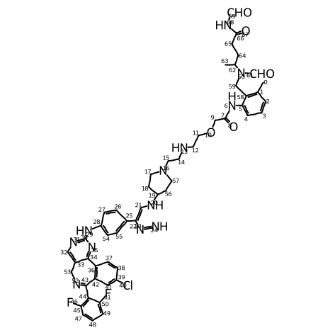 Cc1cccc(NC(=O)COCCNCCN2CCC(N/C=C(\N=N)c3ccc(Nc4ncc5c(n4)-c4ccc(Cl)cc4C(c4c(F)cccc4F)=NC5)cc3)CC2)c1CN(C=O)C(C)CCC(=O)NC=O